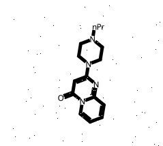 CCCN1CCN(c2cc(=O)n3ccccc3n2)CC1